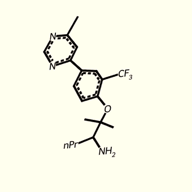 CCCC(N)C(C)(C)Oc1ccc(-c2cc(C)ncn2)cc1C(F)(F)F